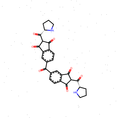 O=C(c1ccc2c(c1)C(=O)C(C(=O)[C@@H]1CCCN1)C2=O)c1ccc2c(c1)C(=O)C(C(=O)[C@@H]1CCCN1)C2=O